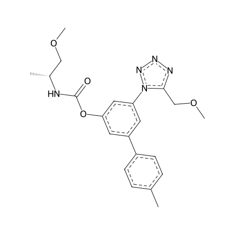 COCc1nnnn1-c1cc(OC(=O)N[C@H](C)COC)cc(-c2ccc(C)cc2)c1